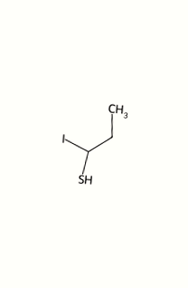 CCC(S)I